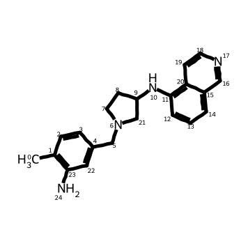 Cc1ccc(CN2CCC(Nc3cccc4cnccc34)C2)cc1N